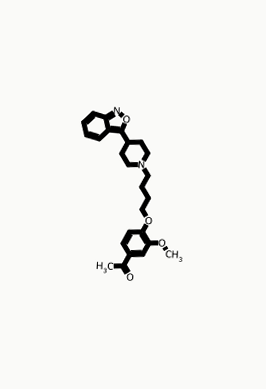 COc1cc(C(C)=O)ccc1OCCCCN1CCC(c2onc3ccccc23)CC1